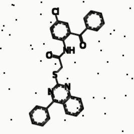 O=C(CSc1nc(-c2ccccc2)c2ccccc2n1)Nc1ccc(Cl)cc1C(=O)c1ccccc1